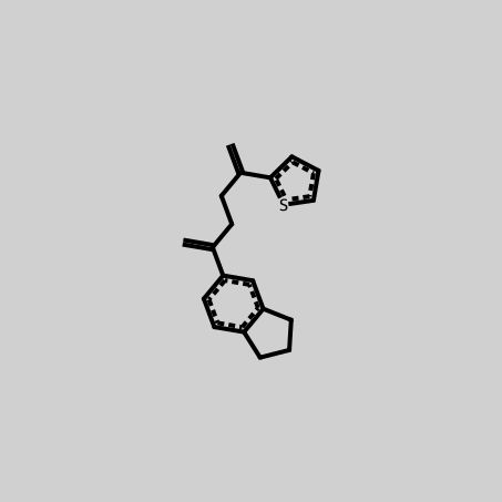 C=C(CCC(=C)c1cccs1)c1ccc2c(c1)CCC2